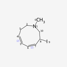 CN1CC/C=C\C=C/C(I)C1